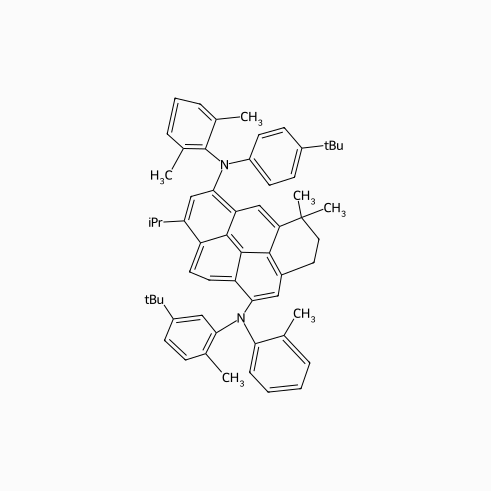 Cc1ccccc1N(c1cc(C(C)(C)C)ccc1C)c1cc2c3c(cc4c(N(c5ccc(C(C)(C)C)cc5)c5c(C)cccc5C)cc(C(C)C)c5ccc1c3c54)C(C)(C)CC2